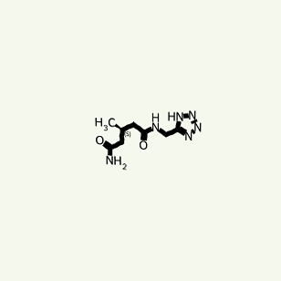 C[C@@H]([CH]C(=O)NCc1nnn[nH]1)CC(N)=O